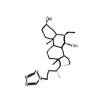 CC[C@@H]1C2C[C@H](O)CCC2(C)C2CCC3(C)C(CC[C@@H]3[C@H](C)CCn3cnnn3)C2[C@@H]1O